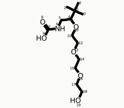 CC(C)(C)C(CNC(=O)O)OCCOCCOCCO